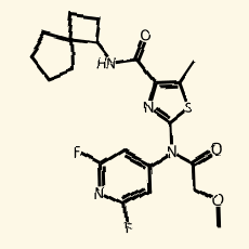 COCC(=O)N(c1cc(F)nc(F)c1)c1nc(C(=O)NC2CCC23CCCC3)c(C)s1